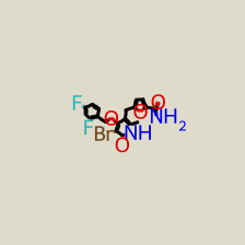 Cc1[nH]c(=O)c(Br)c(OCc2ccc(F)cc2F)c1Cc1ccc(C(N)=O)o1